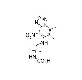 Cc1c(NCC(C)(C)NC(=O)O)c([N+](=O)[O-])c2nnnn2c1C